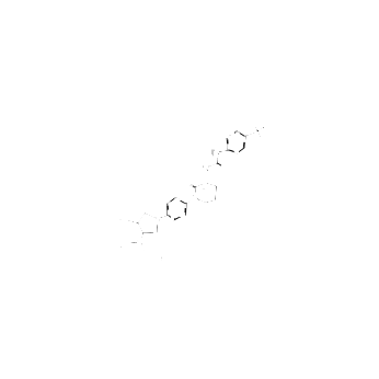 CN(C)C1CN(c2ccc(N3CCC[C@@H](NC(=O)Nc4ccc(C(F)(F)F)cc4)C3=O)cc2)CC1O